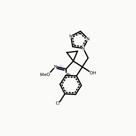 CO/N=C(\C(C)C)C1(C(O)(Cn2cncn2)c2ccc(Cl)cc2)CC1